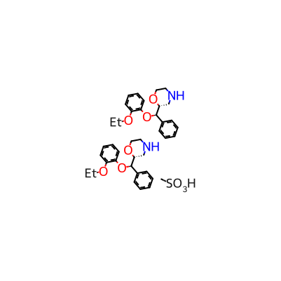 CCOc1ccccc1O[C@H](c1ccccc1)[C@H]1CNCCO1.CCOc1ccccc1O[C@H](c1ccccc1)[C@H]1CNCCO1.CS(=O)(=O)O